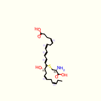 CC/C=C\C/C=C\C[C@H](O)[C@@H](/C=C/C=C/C=C\C/C=C\CCC(=O)O)SC[C@H](N)C(=O)O